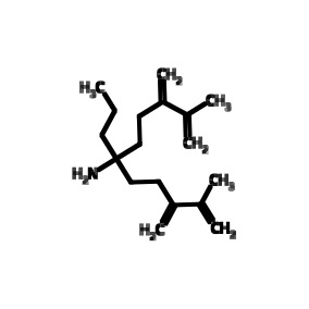 C=C(C)C(=C)CCC(N)(CCC)CCC(=C)C(=C)C